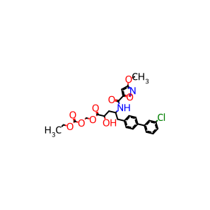 CCOC(=O)OCOC(=O)C(O)CC(Cc1ccc(-c2cccc(Cl)c2)cc1)NC(=O)c1cc(OC)no1